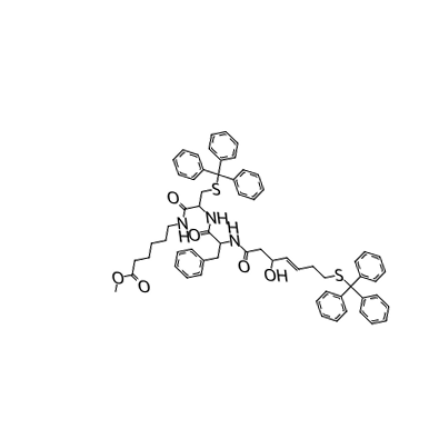 COC(=O)CCCCCNC(=O)C(CSC(c1ccccc1)(c1ccccc1)c1ccccc1)NC(=O)C(Cc1ccccc1)NC(=O)CC(O)C=CCCSC(c1ccccc1)(c1ccccc1)c1ccccc1